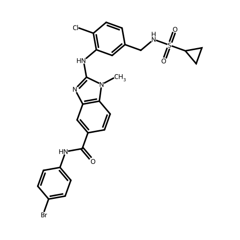 Cn1c(Nc2cc(CNS(=O)(=O)C3CC3)ccc2Cl)nc2cc(C(=O)Nc3ccc(Br)cc3)ccc21